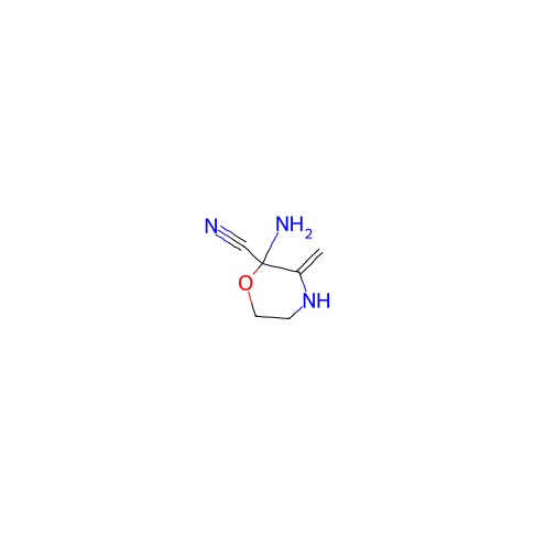 C=C1NCCOC1(N)C#N